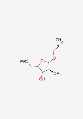 C=CCOC1OC(CSC)C(O)[C@@H]1OC(C)=O